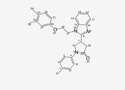 Cc1ccc(N2CC(c3nc4ccccc4n3CCOc3ccc(C)c(C)c3)CC2=O)cc1